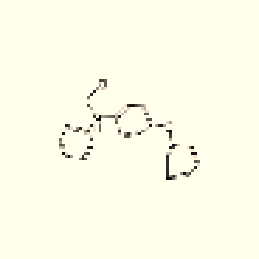 ClC[SiH](c1ccccc1)c1ccc(Oc2ccccc2)cc1